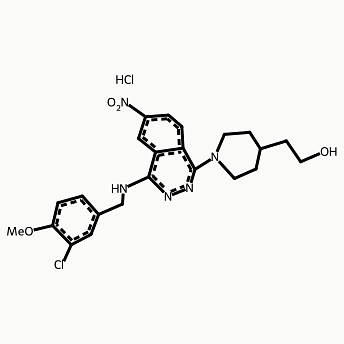 COc1ccc(CNc2nnc(N3CCC(CCO)CC3)c3ccc([N+](=O)[O-])cc23)cc1Cl.Cl